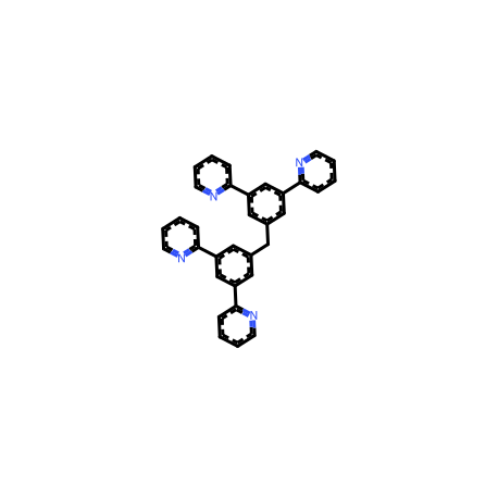 c1ccc(-c2cc(Cc3cc(-c4ccccn4)cc(-c4ccccn4)c3)cc(-c3ccccn3)c2)nc1